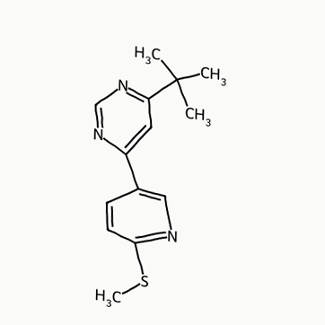 CSc1ccc(-c2cc(C(C)(C)C)ncn2)cn1